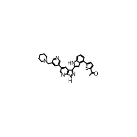 CC(=O)c1ccc(-c2cccc3[nH]c(-c4n[nH]c5ncc(-c6cncc(CN7CCCCC7)c6)cc45)cc23)s1